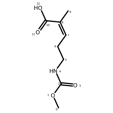 COC(=O)NCCC=C(C)C(=O)O